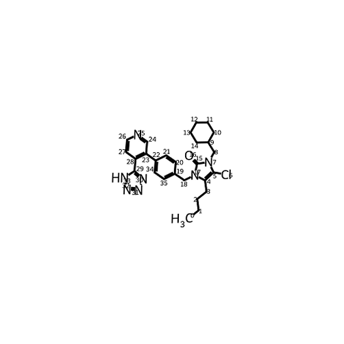 CCCCc1c(Cl)n(CC2CCCCC2)c(=O)n1Cc1ccc(-c2cnccc2-c2nnn[nH]2)cc1